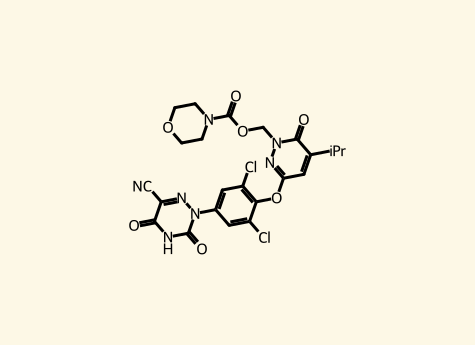 CC(C)c1cc(Oc2c(Cl)cc(-n3nc(C#N)c(=O)[nH]c3=O)cc2Cl)nn(COC(=O)N2CCOCC2)c1=O